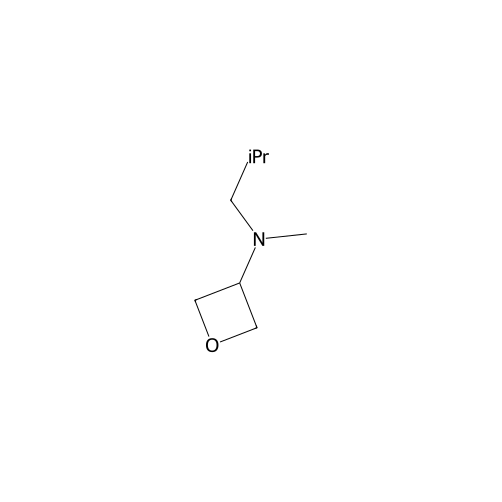 CC(C)CN(C)C1COC1